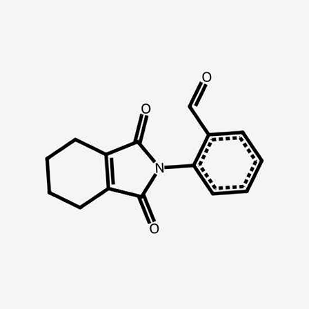 O=Cc1ccccc1N1C(=O)C2=C(CCCC2)C1=O